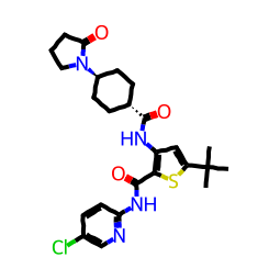 CC(C)(C)c1cc(NC(=O)[C@H]2CC[C@H](N3CCCC3=O)CC2)c(C(=O)Nc2ccc(Cl)cn2)s1